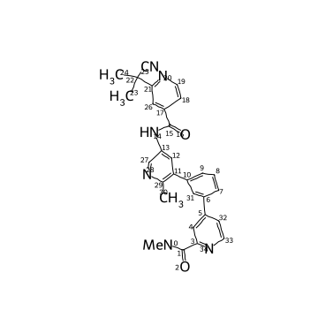 CNC(=O)c1cc(-c2cccc(-c3cc(NC(=O)c4ccnc(C(C)(C)C#N)c4)cnc3C)c2)ccn1